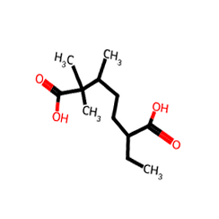 CCC(CCC(C)C(C)(C)C(=O)O)C(=O)O